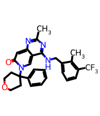 Cc1nc(NCc2cccc(C(F)(F)F)c2C)c2cn(C3(c4ccccc4)CCOCC3)c(=O)cc2n1